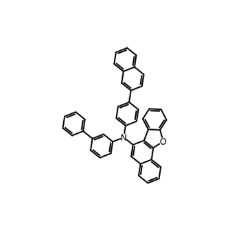 c1ccc(-c2cccc(N(c3ccc(-c4ccc5ccccc5c4)cc3)c3cc4ccccc4c4oc5ccccc5c34)c2)cc1